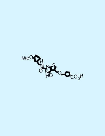 COc1cccc(CNC(=O)c2nc3scc(COCC4CCC(C(=O)O)C4)c3c(=O)[nH]2)c1